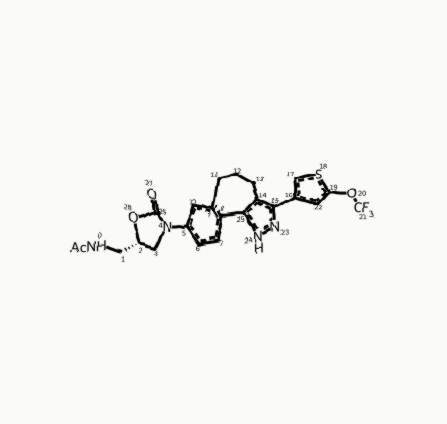 CC(=O)NC[C@H]1CN(c2ccc3c(c2)CCCc2c(-c4csc(OC(F)(F)F)c4)n[nH]c2-3)C(=O)O1